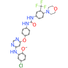 COc1ccc(Cl)cc1Nc1cc(Oc2ccc(NC(=O)Nc3ccc(N4CCOCC4)c(C(F)(F)F)c3)cc2)ncn1